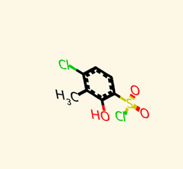 Cc1c(Cl)ccc(S(=O)(=O)Cl)c1O